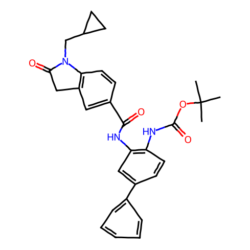 CC(C)(C)OC(=O)Nc1ccc(-c2ccccc2)cc1NC(=O)c1ccc2c(c1)CC(=O)N2CC1CC1